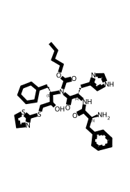 CCCCOC(=O)N(C(=O)[C@H](Cc1c[nH]cn1)NC(=O)[C@@H](N)Cc1ccccc1)[C@@H](CC1CCCCC1)C(O)CSc1nccs1